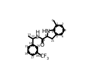 Cc1cccc2c1NC(C(=O)NC(C)c1cccc(C(F)(F)F)c1)C2